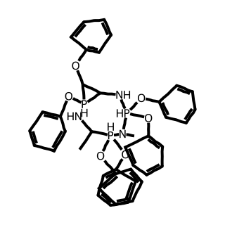 CC1N[PH]2(Oc3ccccc3)C(N[PH](Oc3ccccc3)(Oc3ccccc3)N(C)[PH]1(Oc1ccccc1)Oc1ccccc1)C2Oc1ccccc1